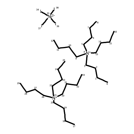 CCCC[N+](CCCC)(CCCC)CCCC.CCCC[N+](CCCC)(CCCC)CCCC.[I][Ni-2]([I])([I])[I]